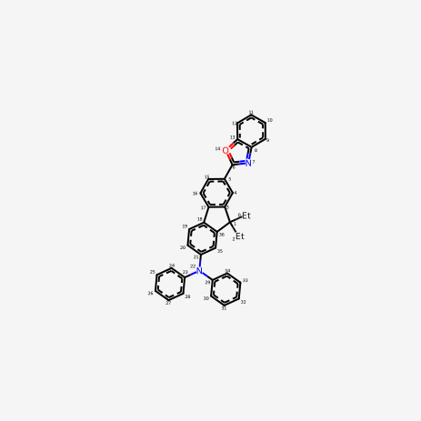 CCC1(CC)c2cc(-c3nc4ccccc4o3)ccc2-c2ccc(N(c3ccccc3)c3ccccc3)cc21